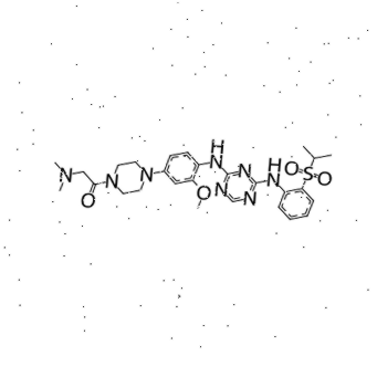 COc1cc(N2CCN(C(=O)CN(C)C)CC2)ccc1Nc1ncnc(Nc2ccccc2S(=O)(=O)C(C)C)n1